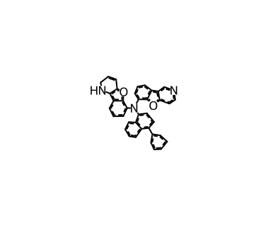 C1=Cc2oc3c(N(c4ccc(-c5ccccc5)c5ccccc45)c4cccc5c4oc4ccncc45)cccc3c2NC1